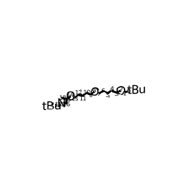 CC(C)(C)COCCCCCOCCCCCOC1CN(C(C)(C)C)C1